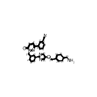 N#Cc1cccc(-c2ccc(=O)n(Cc3cccc(-c4ncc(OCC5CCC(CN)CC5)cn4)c3)n2)c1